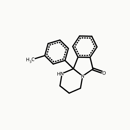 Cc1cccc(C23NCCCN2C(=O)c2ccccc23)c1